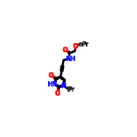 CCCOCC(=O)NCC#Cc1cn(C(C)C)c(=O)[nH]c1=O